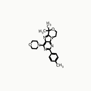 Cc1ccc(-c2nc(N3CCOCC3)c3nc4n(c3n2)CCOC4(C)C)cc1